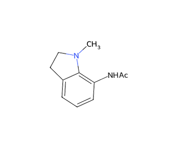 CC(=O)Nc1cccc2c1N(C)CC2